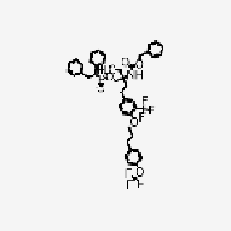 CCC(CCc1ccc(OCCCc2ccc(OC(F)(F)F)cc2)c(C(F)(F)F)c1)(CO[PH](=O)C(Cc1ccccc1)c1ccccc1)NC(=O)OCc1ccccc1